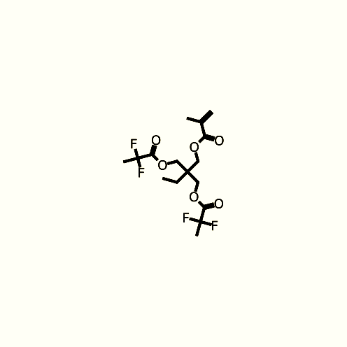 C=C(C)C(=O)OCC(CC)(COC(=O)C(C)(F)F)COC(=O)C(C)(F)F